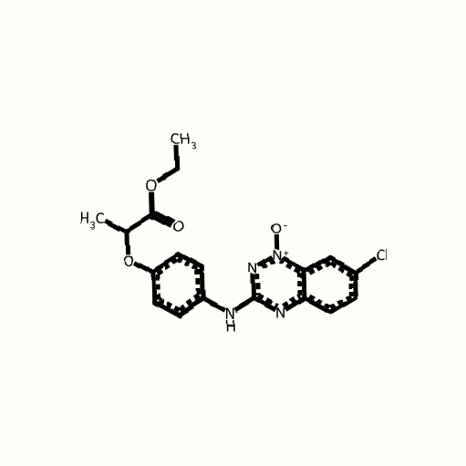 CCOC(=O)C(C)Oc1ccc(Nc2nc3ccc(Cl)cc3[n+]([O-])n2)cc1